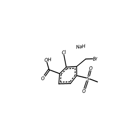 CS(=O)(=O)c1ccc(C(=O)O)c(Cl)c1CBr.[NaH]